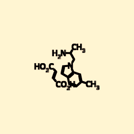 Cc1ccc2ccn(CC(C)N)c2c1.O=C(O)C=CC(=O)O